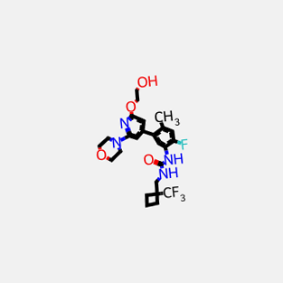 Cc1cc(F)c(NC(=O)NCC2(C(F)(F)F)CCC2)cc1-c1cc(OCCO)nc(N2CCOCC2)c1